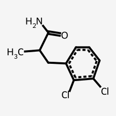 CC(Cc1cccc(Cl)c1Cl)C(N)=O